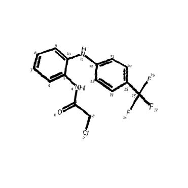 O=C(CCl)Nc1ccccc1Nc1ccc(C(F)(F)F)cc1